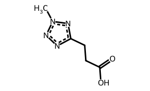 Cn1nnc(CCC(=O)O)n1